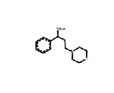 [CH2-][NH2+]C(CCN1CCOCC1)c1ccccc1